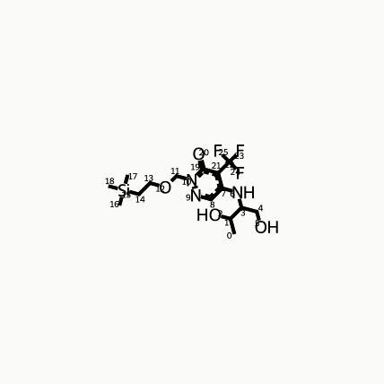 CC(O)C(CO)Nc1cnn(COCC[Si](C)(C)C)c(=O)c1C(F)(F)F